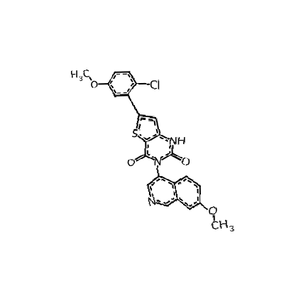 COc1ccc(Cl)c(-c2cc3[nH]c(=O)n(-c4cncc5cc(OC)ccc45)c(=O)c3s2)c1